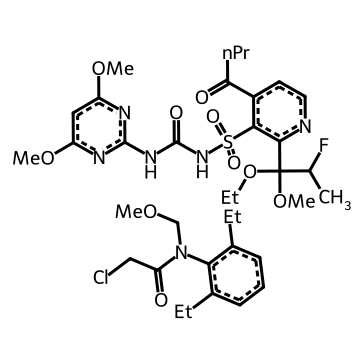 CCCC(=O)c1ccnc(C(OC)(OCC)C(C)F)c1S(=O)(=O)NC(=O)Nc1nc(OC)cc(OC)n1.CCc1cccc(CC)c1N(COC)C(=O)CCl